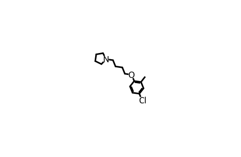 Cc1cc(Cl)ccc1OCCCCN1CCCC1